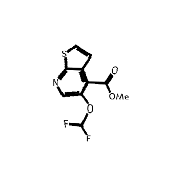 COC(=O)c1c(OC(F)F)cnc2sccc12